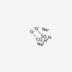 O=C([O-])O.O=S(=O)([O-])O.[Na+].[Na+]